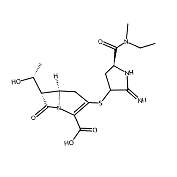 CCN(C)C(=O)[C@@H]1CC(SC2=C(C(=O)O)N3C(=O)[C@H]([C@@H](C)O)[C@H]3C2)C(=N)N1